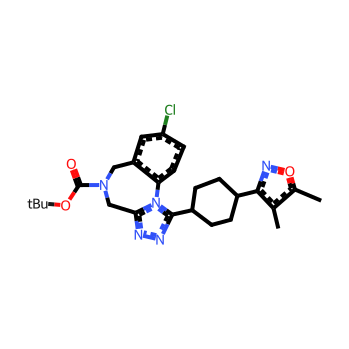 Cc1onc(C2CCC(c3nnc4n3-c3ccc(Cl)cc3CN(C(=O)OC(C)(C)C)C4)CC2)c1C